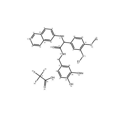 CCOc1cc(C(Nc2ccc3cnccc3c2)C(=O)NCc2ccc(O)c(OC)c2)ccc1OC(C)C.O=C(O)C(F)(F)F